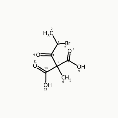 CC(Br)C(=O)C(C)(C(=O)O)C(=O)O